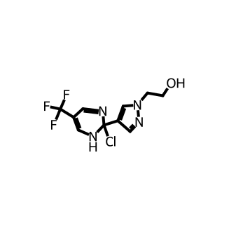 OCCn1cc(C2(Cl)N=CC(C(F)(F)F)=CN2)cn1